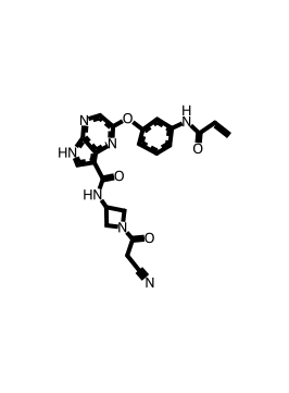 C=CC(=O)Nc1cccc(Oc2cnc3[nH]cc(C(=O)NC4CN(C(=O)CC#N)C4)c3n2)c1